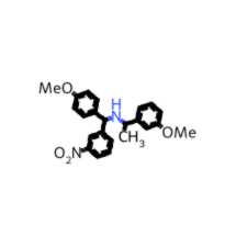 COc1ccc(C(NC(C)c2cccc(OC)c2)c2cccc([N+](=O)[O-])c2)cc1